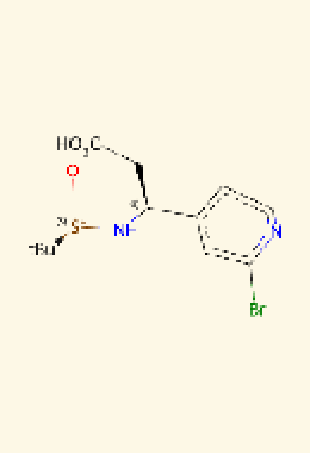 CC(C)(C)[S@@+]([O-])N[C@@H](CC(=O)O)c1ccnc(Br)c1